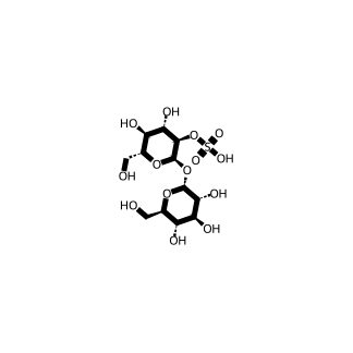 O=S(=O)(O)O[C@H]1[C@@H](O[C@H]2O[C@H](CO)[C@@H](O)[C@H](O)[C@H]2O)O[C@H](CO)[C@@H](O)[C@@H]1O